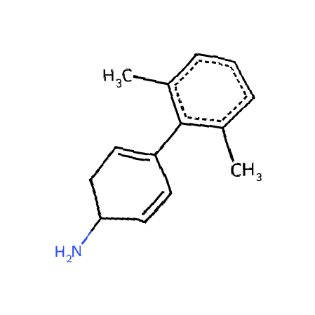 Cc1cccc(C)c1C1=CCC(N)C=C1